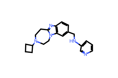 c1cncc(NCc2ccc3nc4n(c3c2)CCN(C2CCC2)CC4)c1